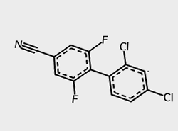 N#Cc1cc(F)c(-c2ccc(Cl)[c]c2Cl)c(F)c1